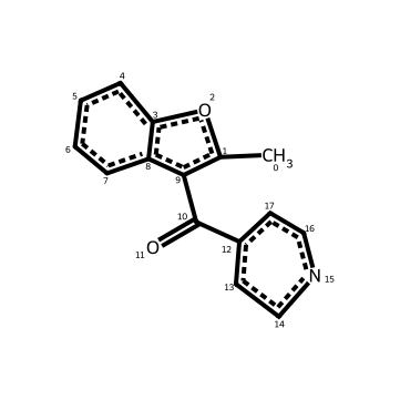 Cc1oc2ccccc2c1C(=O)c1ccncc1